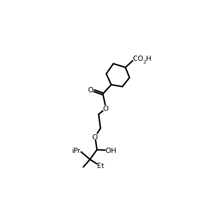 CCC(C)(C(C)C)C(O)OCCOC(=O)C1CCC(C(=O)O)CC1